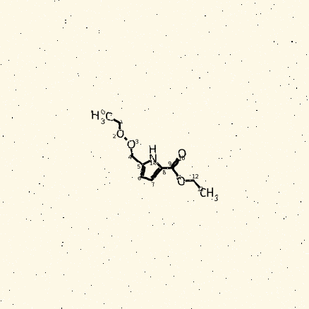 CCOOCc1ccc(C(=O)OCC)[nH]1